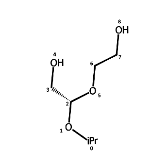 CC(C)O[C@H](CO)OCCO